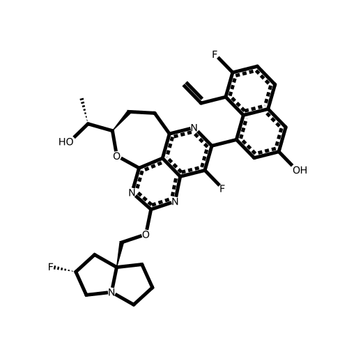 C=Cc1c(F)ccc2cc(O)cc(-c3nc4c5c(nc(OC[C@@]67CCCN6C[C@H](F)C7)nc5c3F)O[C@@H]([C@@H](C)O)CC4)c12